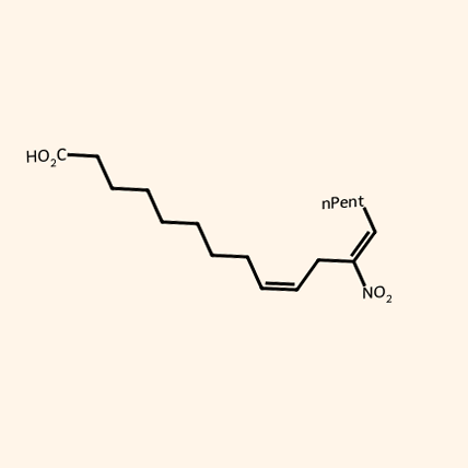 CCCCC/C=C(\C/C=C\CCCCCCCC(=O)O)[N+](=O)[O-]